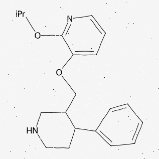 CC(C)Oc1ncccc1OCC1CNCCC1c1ccccc1